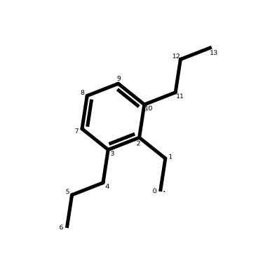 [CH2]Cc1c(CCC)cccc1CCC